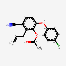 C=CCc1c(C#N)ccc(Oc2ccc(Cl)cc2)c1OC(C)=O